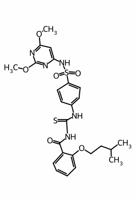 COc1cc(NS(=O)(=O)c2ccc(NC(=S)NC(=O)c3ccccc3OCCC(C)C)cc2)nc(OC)n1